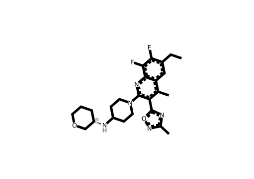 CCc1cc2c(C)c(-c3nc(C)no3)c(N3CCC(N[C@H]4CCCOC4)CC3)nc2c(F)c1F